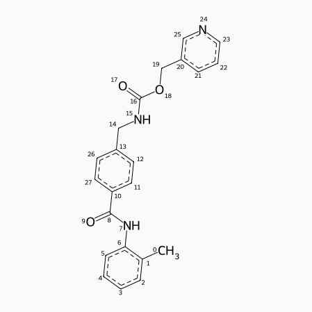 Cc1ccccc1NC(=O)c1ccc(CNC(=O)OCc2cccnc2)cc1